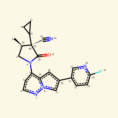 C[C@@H]1CN(c2ccnn3cc(-c4ccc(F)nc4)cc23)C(=O)[C@]1(C#N)C1CC1